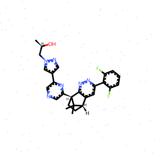 C[C@@H](O)Cn1cc(-c2cncc([C@@]34CC[C@@H](c5cc(-c6c(F)cccc6F)nnc53)C4(C)C)n2)cn1